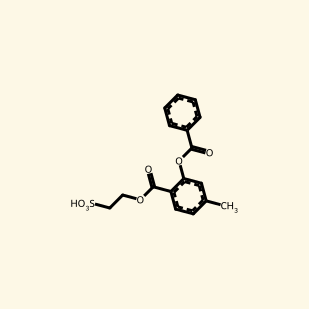 Cc1ccc(C(=O)OCCS(=O)(=O)O)c(OC(=O)c2ccccc2)c1